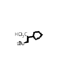 CC(C)(C)C=C(C(=O)O)C1CCCCC1